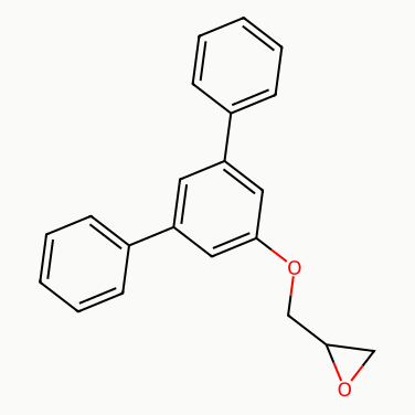 c1ccc(-c2cc(OCC3CO3)cc(-c3ccccc3)c2)cc1